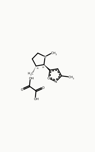 Cc1cc([C@H]2[C@H](C)CCN2C)on1.O=C(O)C(=O)O